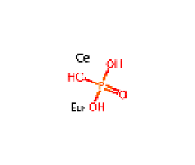 O=P(O)(O)O.[Ce].[Eu]